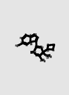 NC1=CNC(c2cnc3ccc(F)cn23)=NC1(N)C1CCC1